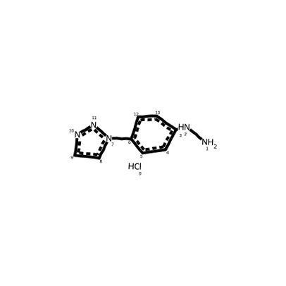 Cl.NNc1ccc(-n2ccnn2)cc1